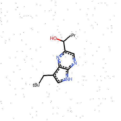 CC(C)C(O)c1cnc2[nH]cc(CC(C)(C)C)c2n1